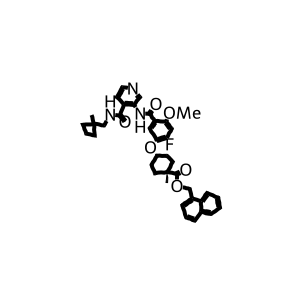 COc1cc(F)c(O[C@H]2CC[C@@](C)(C(=O)OCc3cccc4ccccc34)CC2)cc1C(=O)Nc1cnccc1C(=O)NCC1(C)CCC1